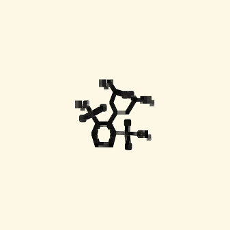 CS(=O)(=O)c1cccc(S(C)(=O)=O)c1C(CC(N)=O)CC(N)=O